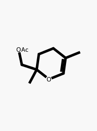 CC(=O)OCC1(C)CCC(C)=CO1